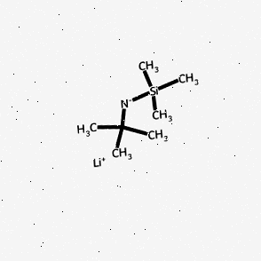 CC(C)(C)[N-][Si](C)(C)C.[Li+]